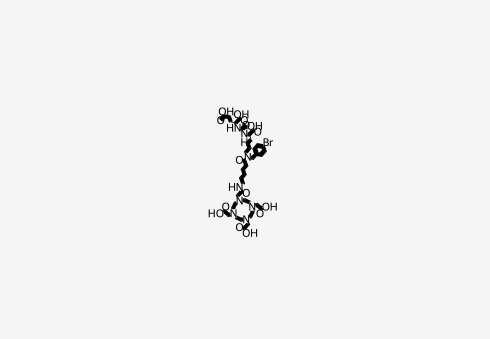 O=C(O)CC[C@@H](NC(=O)N[C@@H](CCCCN(Cc1ccc(Br)cc1)C(=O)CCCCCNC(=O)CN1CCN(CC(=O)O)CCN(CC(=O)O)CCN(CC(=O)O)CC1)C(=O)O)C(=O)O